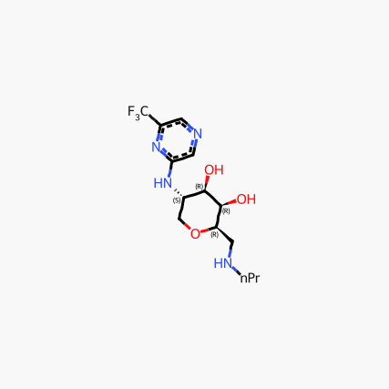 CCCNC[C@H]1OC[C@H](Nc2cncc(C(F)(F)F)n2)[C@@H](O)[C@H]1O